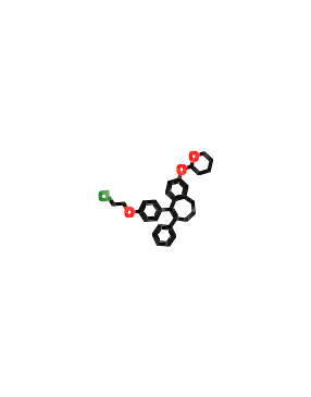 ClCCOc1ccc(C2=C(c3ccccc3)CCCc3cc(OC4CCCCO4)ccc32)cc1